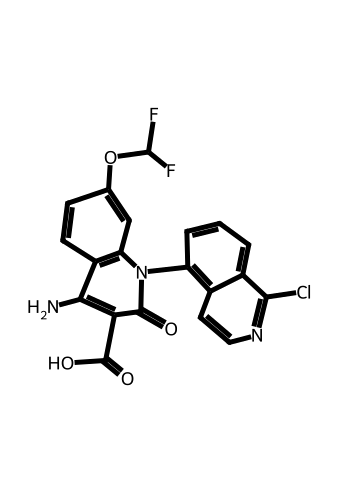 Nc1c(C(=O)O)c(=O)n(-c2cccc3c(Cl)nccc23)c2cc(OC(F)F)ccc12